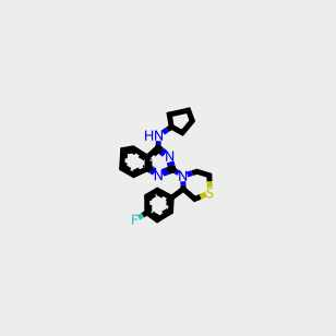 Fc1ccc(C2CSCCN2c2nc(NC3CCCC3)c3ccccc3n2)cc1